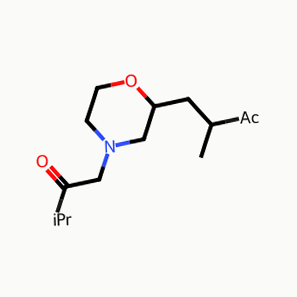 CC(=O)C(C)CC1CN(CC(=O)C(C)C)CCO1